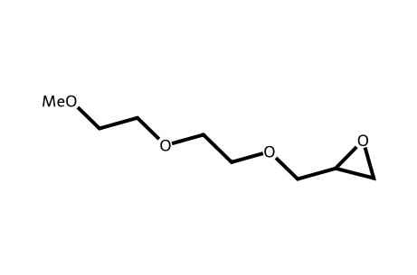 COCCOCCOCC1CO1